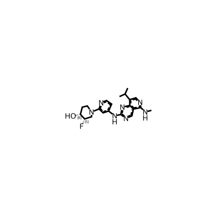 CNc1ncc(C(C)C)c2nc(Nc3ccnc(N4CC[C@@H](O)[C@@H](F)C4)c3)ncc12